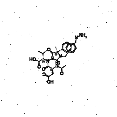 CC(=O)N[C@@H](CC(=O)O)C(=O)N([C@H](C(=O)O)C(C)C)N1C(=O)N(Cc2ccccc2)[C@](C)(c2ccc(C=NN)cc2)C1=O